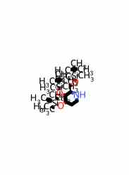 CC(C)(C)[Si](C)(C)OC[C@H]1NCCC(O[Si](C)(C)C(C)(C)C)C1O[Si](C)(C)C(C)(C)C